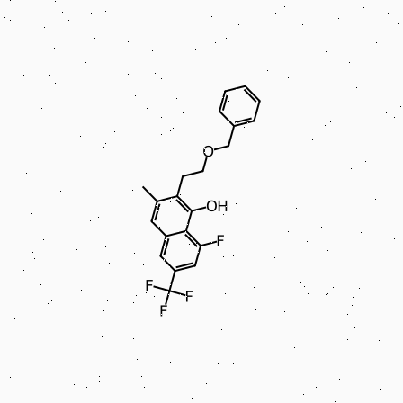 Cc1cc2cc(C(F)(F)F)cc(F)c2c(O)c1CCOCc1ccccc1